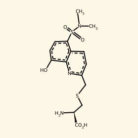 CN(C)S(=O)(=O)c1ccc(O)c2nc(CSC[C@H](N)C(=O)O)ccc12